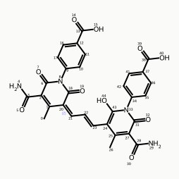 CC1=C(C(N)=O)C(=O)N(c2ccc(C(=O)O)cc2)C(=O)/C1=C\C=Cc1c(C)c(C(N)=O)c(=O)n(-c2ccc(C(=O)O)cc2)c1O